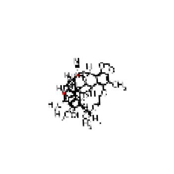 C=CCOc1c(C)c2c(c3c1[C@H]1SC[C@]4(NCCc5cc(O)c(OC)cc54)C(=O)OC[C@@H]3N3C1[C@H]1c4c(cc(C)c(OC)c4OCC=C)C[C@@H]([C@@H]3C#N)N1C)OCO2